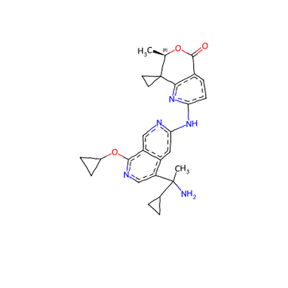 C[C@H]1OC(=O)c2ccc(Nc3cc4c(C(C)(N)C5CC5)cnc(OC5CC5)c4cn3)nc2C12CC2